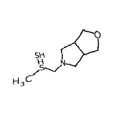 C[SH](S)CN1CC2COCC2C1